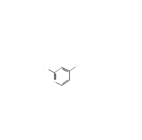 CC(=O)Nc1ccnc(C#N)c1